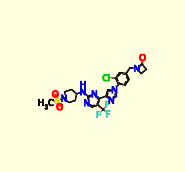 CS(=O)(=O)N1CCC(Nc2ncc(C(F)(F)F)c(-c3cn(-c4ccc(CN5CCC5=O)cc4Cl)cn3)n2)CC1